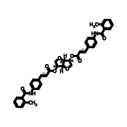 Cc1ccccc1C(=O)Nc1ccc(/C=C/C(=O)O[C@H]2CO[C@H]3[C@@H]2OC[C@H]3OC(=O)/C=C/c2ccc(NC(=O)c3ccccc3C)cc2)cc1